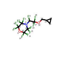 FC(N1C(F)(F)C(F)(F)OC(F)(F)C1(F)F)C(F)(F)OCC1CC1